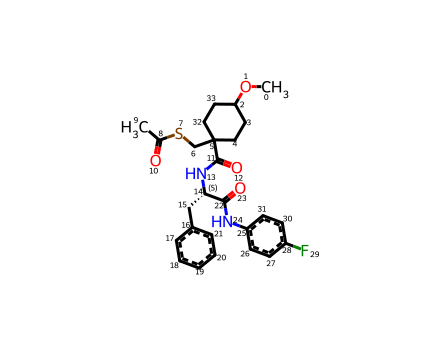 COC1CCC(CSC(C)=O)(C(=O)N[C@@H](Cc2ccccc2)C(=O)Nc2ccc(F)cc2)CC1